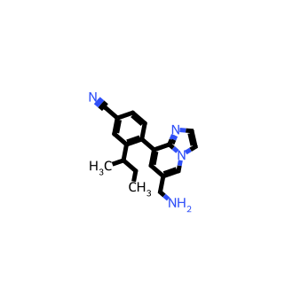 CCC(C)c1cc(C#N)ccc1-c1cc(CN)cn2ccnc12